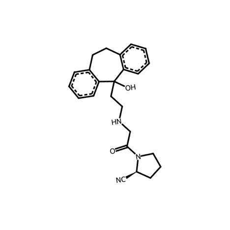 N#C[C@@H]1CCCN1C(=O)CNCCC1(O)c2ccccc2CCc2ccccc21